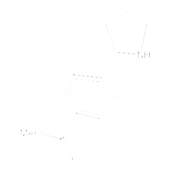 COC(=O)c1ccc(C2CCCN2)cc1